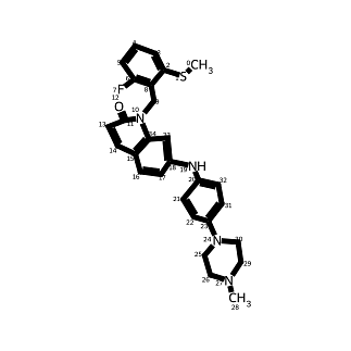 CSc1cccc(F)c1Cn1c(=O)ccc2ccc(Nc3ccc(N4CCN(C)CC4)cc3)cc21